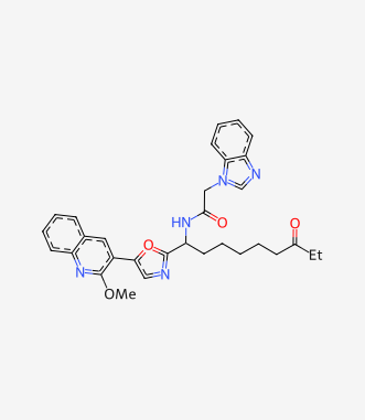 CCC(=O)CCCCCC(NC(=O)Cn1cnc2ccccc21)c1ncc(-c2cc3ccccc3nc2OC)o1